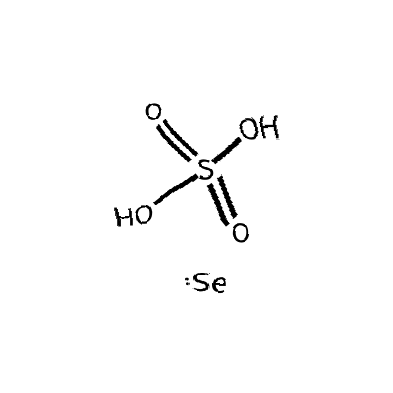 O=S(=O)(O)O.[Se]